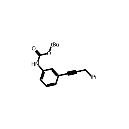 CC(C)CC#Cc1cccc(NC(=O)OC(C)(C)C)c1